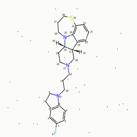 Fc1ccc2c(c1)CCN2CCCN1CC[C@H]2[C@@H](C1)c1cccc3c1N2CCCS3